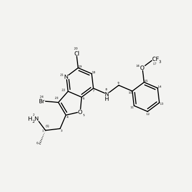 C[C@H](N)Cc1oc2c(NCc3ccccc3OC(F)(F)F)cc(Cl)nc2c1Br